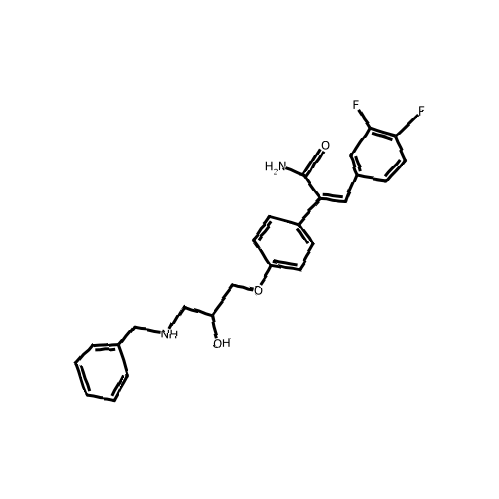 NC(=O)C(=Cc1ccc(F)c(F)c1)c1ccc(OCC(O)CNCc2ccccc2)cc1